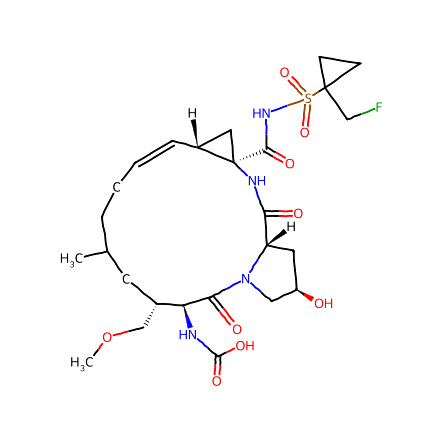 COC[C@@H]1CC(C)CCC=C[C@@H]2C[C@@]2(C(=O)NS(=O)(=O)C2(CF)CC2)NC(=O)[C@@H]2C[C@@H](O)CN2C(=O)[C@H]1NC(=O)O